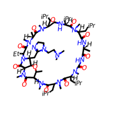 CCC1C(=O)N(C)[C@H](C)C(=O)N(C)[C@@H](CC(C)C)C(=O)N[C@H](C(C)C)C(=O)N(C)[C@H](CC(C)C)C(=O)N[C@H](C)C(=O)NC(=O)N(C)[C@H](CC(C)C)C(=O)N(C)C(CC(C)C)C(=O)N(C)[C@@H]2C(=O)N(C)[C@@H]3C(=O)N1[C@H](CC1=NCCN1CCN(C)C)[C@H]3OC2C